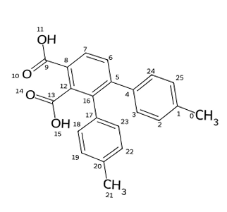 Cc1ccc(-c2ccc(C(=O)O)c(C(=O)O)c2-c2ccc(C)cc2)cc1